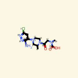 CC1CN(c2cc(Cl)nnc2N)CCN1C(=O)CN(C)C(=O)O